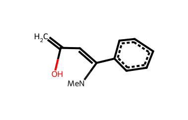 C=C(O)/C=C(\NC)c1ccccc1